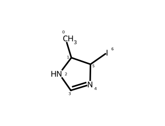 CC1NC=NC1I